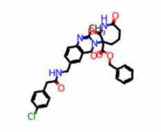 Cc1nc2ccc(CNC(=O)Cc3ccc(Cl)cc3)cc2c(=O)n1C1(C(=O)OCc2ccccc2)CCCC(=O)NC1=O